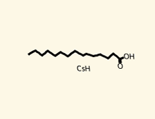 CCCCCCCCCCCCCCC(=O)O.[CsH]